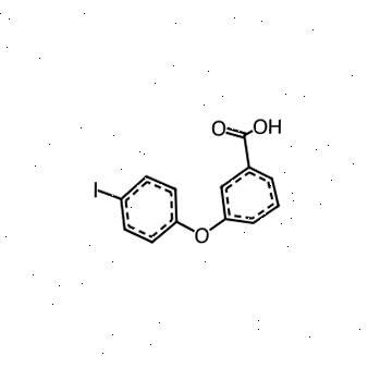 O=C(O)c1cccc(Oc2ccc(I)cc2)c1